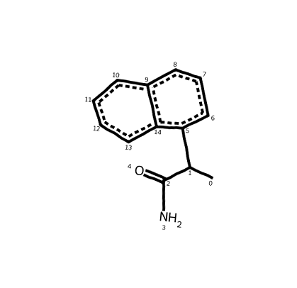 CC(C(N)=O)c1cccc2ccccc12